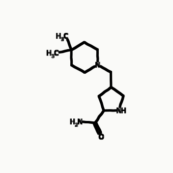 CC1(C)CCN(CC2CNC(C(N)=O)C2)CC1